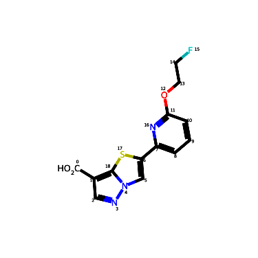 O=C(O)c1cnn2cc(-c3cccc(OCCF)n3)sc12